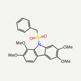 COc1cc2c3ccc(OC)c(OC)c3n(S(=O)(=O)Cc3ccccc3)c2cc1OC